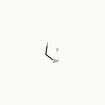 [I-].[Zn+][CH2]I